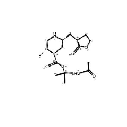 CC(=O)O.C[C@@H]1CN[C@@H](CN2CCOC2=O)CN1C(=O)OC(C)(C)C